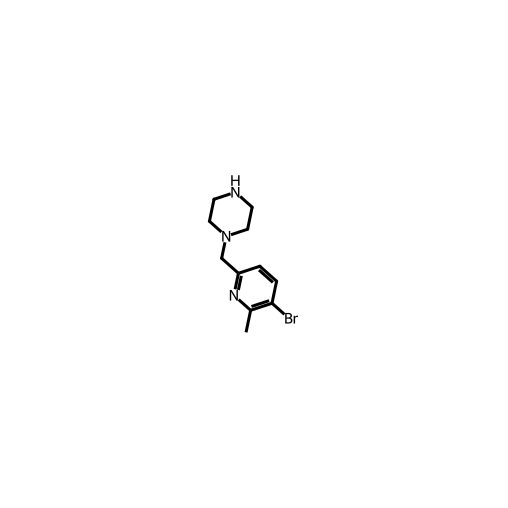 Cc1nc(CN2CCNCC2)ccc1Br